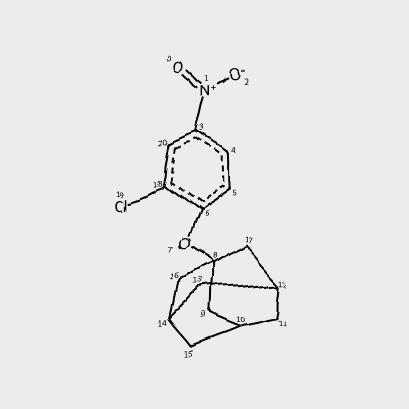 O=[N+]([O-])c1ccc(OC23CC4CC(CC(C4)C2)C3)c(Cl)c1